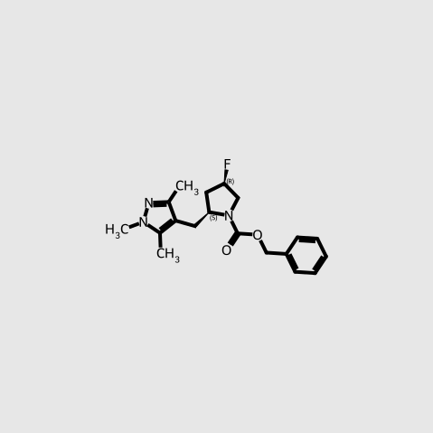 Cc1nn(C)c(C)c1C[C@H]1C[C@@H](F)CN1C(=O)OCc1ccccc1